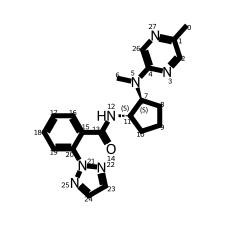 Cc1cnc(N(C)[C@H]2CCC[C@@H]2NC(=O)c2ccccc2-n2nccn2)cn1